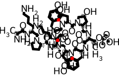 C[C@H](N)C(=O)N[C@@H](CCCCN)C(=O)N1CCC[C@H]1C(=O)N[C@@H](CO)C(=O)N[C@@H](Cc1ccc(O)cc1)C(=O)N1C[C@H](O)C[C@H]1C(=O)N1C[C@H](O)C[C@H]1C(=O)N[C@H](C(=O)N[C@@H](Cc1ccc(O)cc1)C(=O)N1C[C@H](O)C[C@H]1C(=O)N[C@@H](CCCCN)C(=O)O)[C@@H](C)OP(=O)(O)O